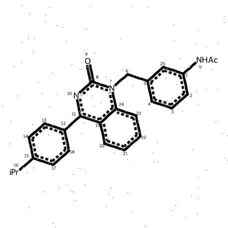 CC(=O)Nc1cccc(Cn2c(=O)nc(-c3ccc(C(C)C)cc3)c3ccccc32)c1